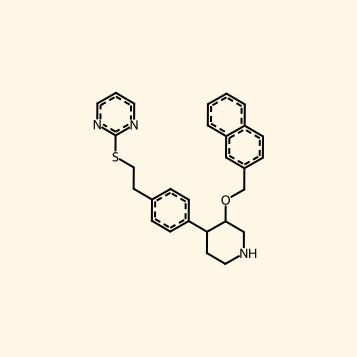 c1cnc(SCCc2ccc(C3CCNCC3OCc3ccc4ccccc4c3)cc2)nc1